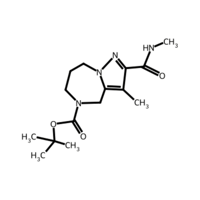 CNC(=O)c1nn2c(c1C)CN(C(=O)OC(C)(C)C)CCC2